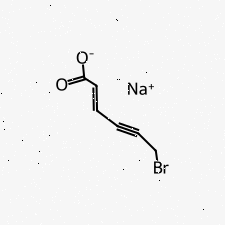 O=C([O-])/C=C/C#CCBr.[Na+]